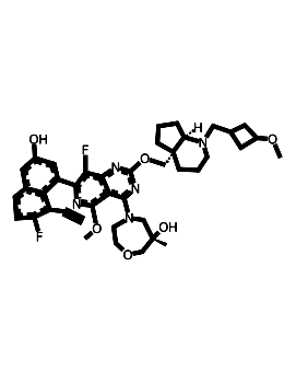 C#Cc1c(F)ccc2cc(O)cc(-c3nc(OC)c4c(N5CCOC[C@@](C)(O)C5)nc(OC[C@]56CCC[C@H]5N(CC5CC(OC)C5)CCC6)nc4c3F)c12